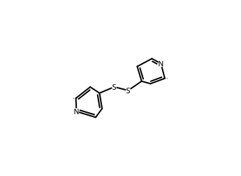 [c]1cc(SSc2c[c]ncc2)ccn1